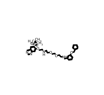 CC(C)(C)S(=O)(=O)c1cc2cncnc2cc1OCCNCCOCCOCCNCc1cccc(OCc2ccccc2)c1